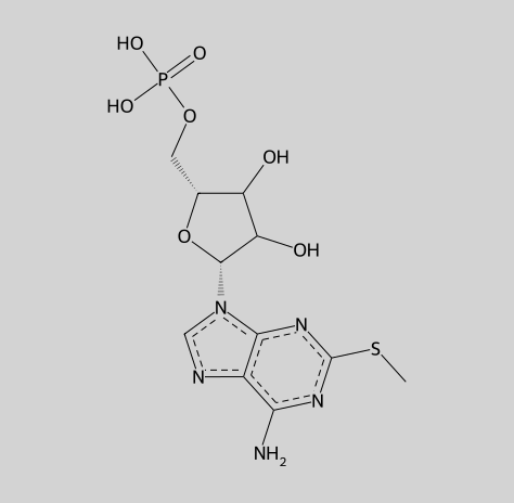 CSc1nc(N)c2ncn([C@@H]3O[C@H](COP(=O)(O)O)C(O)C3O)c2n1